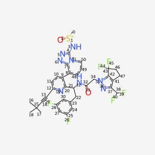 C[S+]([O-])Nc1nnc2c(-c3ccc(C#CC(C)(C)C)nc3C(Cc3cc(F)cc(F)c3)NC(=O)Cn3nc(C(F)F)c4c3C(F)(F)CC4)cccn12